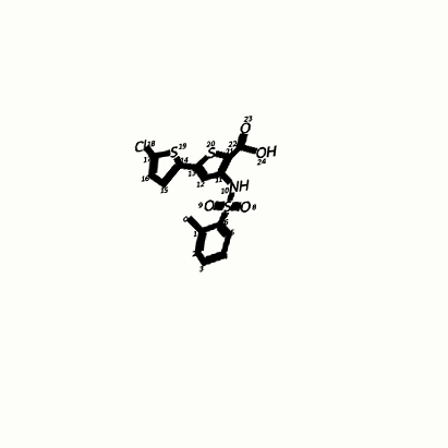 Cc1ccccc1S(=O)(=O)Nc1cc(-c2ccc(Cl)s2)sc1C(=O)O